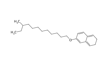 CCC(C)CCCCCCCCCOc1ccc2c(c1)=CCCC=2